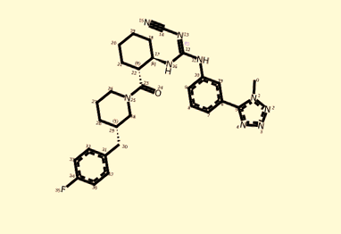 Cn1nnnc1-c1cccc(N/C(=N/C#N)N[C@@H]2CCCC[C@H]2C(=O)N2CCC[C@@H](Cc3ccc(F)cc3)C2)c1